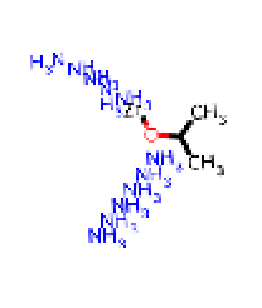 CC(C)[O][Zr].N.N.N.N.N.N.N.N.N.N.N